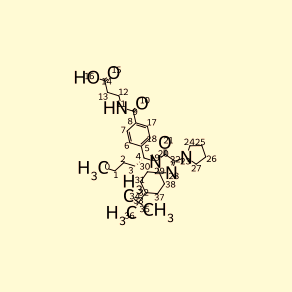 CCCC[C@H](c1ccc(C(=O)NCCC(=O)O)cc1)N1C(=O)C(N2CCCC2)=NC12CCC(C(C)(C)C)CC2